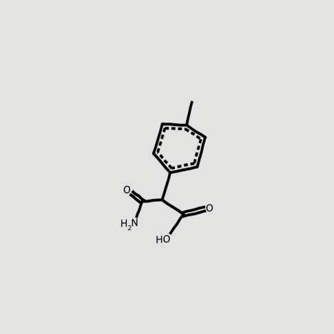 Cc1ccc(C(C(N)=O)C(=O)O)cc1